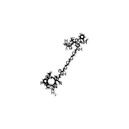 CC[C@H](NC(=O)[C@H]1C[C@@H](NCCOCCOCCOCCOCCC(=O)NCCn2nc3c(c2C#N)-c2cnc(N)c(c2)N2CCC[C@@H]2c2cc(F)ccc2C(=O)N(C2CC2)C3)CN1C(=O)C(CNC(=O)[C@@H](C)NC)C(C)(C)C)c1ccccc1